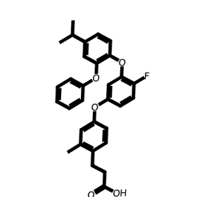 Cc1cc(Oc2ccc(F)c(Oc3ccc(C(C)C)cc3Oc3ccccc3)c2)ccc1CCC(=O)O